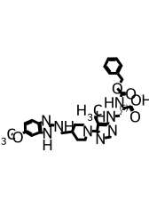 CCc1c(NC[C@H](NC(=O)OCc2ccccc2)C(=O)O)ncnc1N1CCC(CNc2nc3ccc(OC)cc3[nH]2)CC1